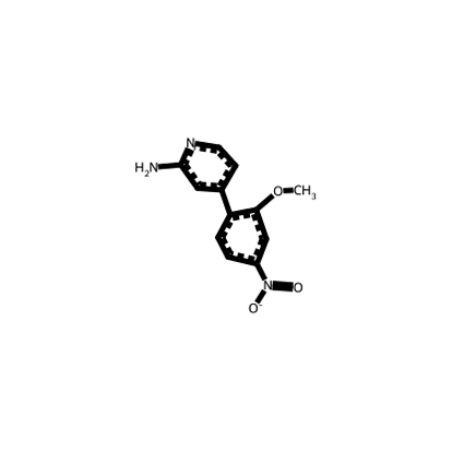 COc1cc([N+](=O)[O-])ccc1-c1ccnc(N)c1